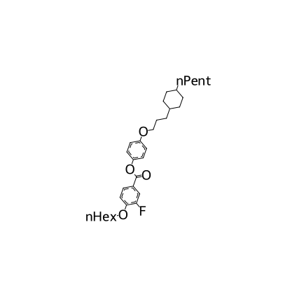 CCCCCCOc1ccc(C(=O)Oc2ccc(OCCCC3CCC(CCCCC)CC3)cc2)cc1F